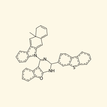 CC12C=c3c(n(C4=NC(c5ccc6c(c5)sc5ccccc56)Nc5oc6ccccc6c54)c4ccccc34)=CC1=CC=CC2